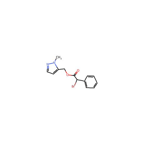 Cn1nccc1COC(=O)C(Br)c1ccccc1